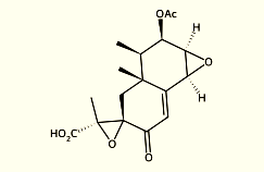 CC(=O)O[C@H]1[C@H]2O[C@H]2C2=CC(=O)[C@]3(C[C@]2(C)[C@H]1C)O[C@]3(C)C(=O)O